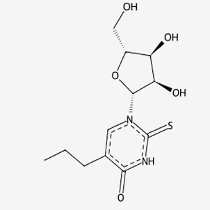 CCCc1cn([C@@H]2O[C@H](CO)[C@@H](O)[C@H]2O)c(=S)[nH]c1=O